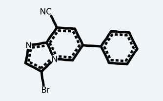 N#Cc1cc(-c2ccccc2)cn2c(Br)cnc12